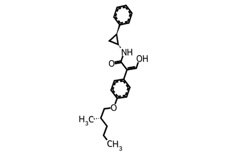 CCC[C@H](C)COc1ccc(C(=CO)C(=O)N[C@@H]2C[C@H]2c2ccccc2)cc1